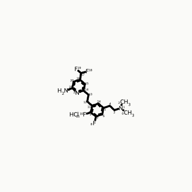 CN(C)CCc1cc(F)c(F)c(CCc2cc(C(F)F)cc(N)n2)c1.Cl